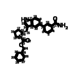 NC(=O)c1cccc(-c2ccc3[nH]cc(C[C@H]4CCCN4C(=O)OCc4ccccc4)c3c2)c1